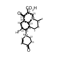 CC1CCc2c(N3C=CC(=O)CC3)c(F)cc3c(=O)c(C(=O)O)cn1c23